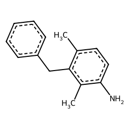 Cc1ccc(N)c(C)c1Cc1ccccc1